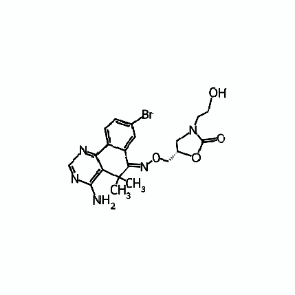 CC1(C)/C(=N/OC[C@@H]2CN(CCO)C(=O)O2)c2cc(Br)ccc2-c2ncnc(N)c21